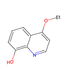 CCOc1ccnc2c(O)cccc12